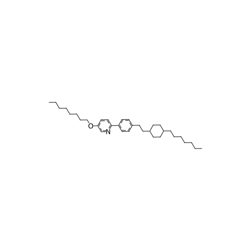 CCCCCCCCOc1ccc(-c2ccc(CCC3CCC(CCCCCCC)CC3)cc2)nc1